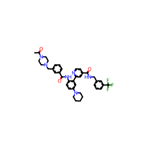 CC(=O)N1CCN(Cc2cccc(C(=O)Nc3ccc(N4CCCCC4)cc3-c3cc(C(=O)NCc4cccc(C(F)(F)F)c4)ccn3)c2)CC1